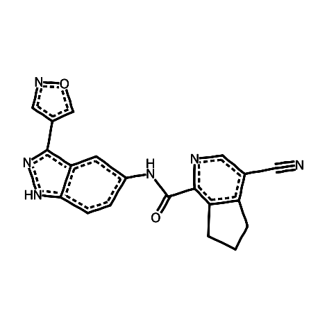 N#Cc1cnc(C(=O)Nc2ccc3[nH]nc(-c4cnoc4)c3c2)c2c1CCC2